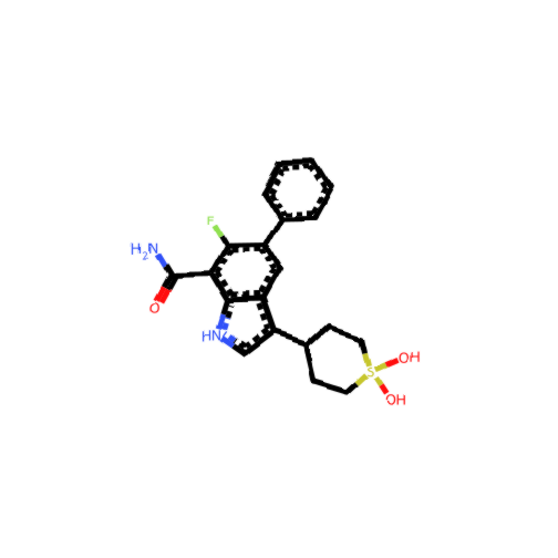 NC(=O)c1c(F)c(-c2ccccc2)cc2c(C3CCS(O)(O)CC3)c[nH]c12